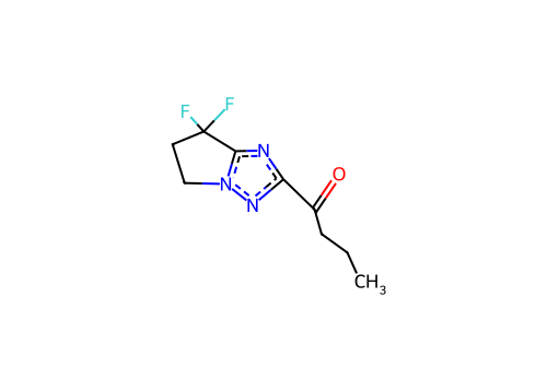 CCCC(=O)c1nc2n(n1)CCC2(F)F